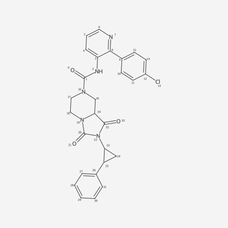 O=C(Nc1cccnc1-c1ccc(Cl)cc1)N1CCN2C(=O)N(C3CC3c3ccccc3)C(=O)C2C1